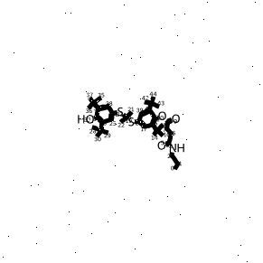 CCCNC(=O)CCC(=O)Oc1c(C(C)(C)C)cc(SC(C)(C)Sc2cc(C(C)(C)C)c(O)c(C(C)(C)C)c2)cc1C(C)(C)C